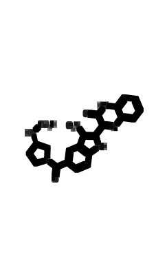 O=C(O)N[C@@H]1CCN(C(=O)c2ccc3[nH]c(-c4nc5ccccc5[nH]c4=O)c([N+](=O)[O-])c3c2)C1